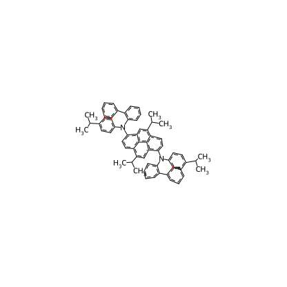 CC(C)c1ccc(N(c2ccccc2-c2ccccc2)c2ccc3c(C(C)C)cc4c(N(c5ccc(C(C)C)cc5)c5ccccc5-c5ccccc5)ccc5c(C(C)C)cc2c3c54)cc1